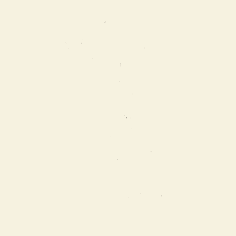 Cc1ccc(NS(=O)(=O)c2ccc(C(C)(C)C)cc2)c2c1C(=O)N(c1ccc[n+](O)c1)C2=O